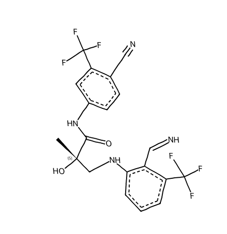 C[C@](O)(CNc1cccc(C(F)(F)F)c1C=N)C(=O)Nc1ccc(C#N)c(C(F)(F)F)c1